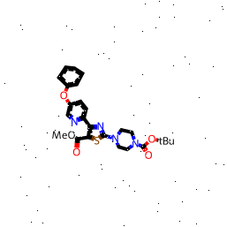 COC(=O)c1sc(N2CCN(C(=O)OC(C)(C)C)CC2)nc1-c1ccc(Oc2ccccc2)cn1